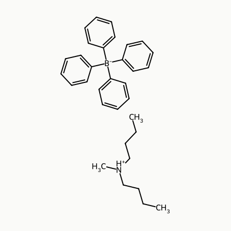 CCCC[NH+](C)CCCC.c1ccc([B-](c2ccccc2)(c2ccccc2)c2ccccc2)cc1